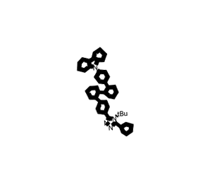 CC(C)(C)n1c(-c2ccccc2)nnc1-c1ccc(-c2ccccc2-c2ccccc2-c2ccc(-n3c4ccccc4c4ccccc43)cc2)cc1